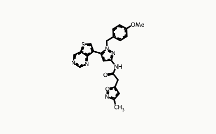 COc1ccc(Cn2nc(NC(=O)Cc3cc(C)no3)cc2-c2csc3cncnc23)cc1